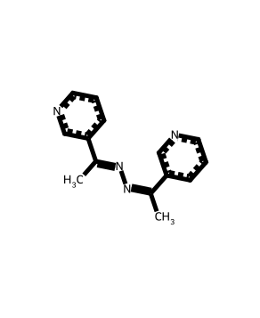 CC(=NN=C(C)c1cccnc1)c1cccnc1